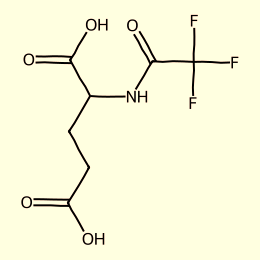 O=C(O)CCC(NC(=O)C(F)(F)F)C(=O)O